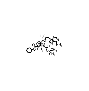 CC(C)OC(=O)COP(=O)(CO[C@H](C)Cn1cnc2c(N)ncnc21)NC(C)(C)C(=O)OC1CCCCC1